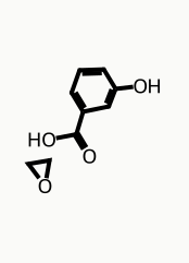 C1CO1.O=C(O)c1cccc(O)c1